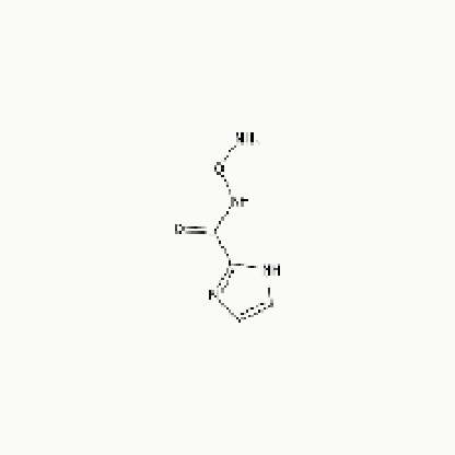 NONC(=O)c1ncc[nH]1